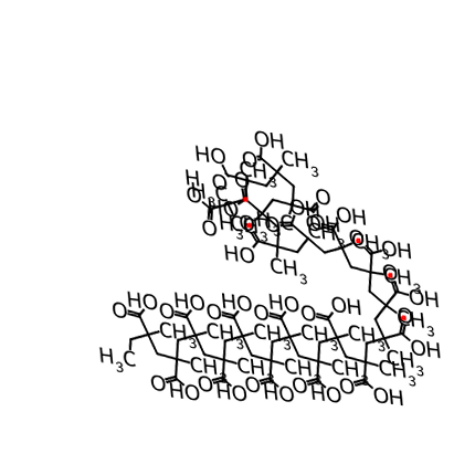 CCC(C)(CC(C)(CC(C)(CC(C)(CC(C)(CC(C)(CC(C)(CC(C)(CC(C)(CC(C)(CC(C)(CC(C)(CC(C)(CC(C)(CC(C)(CC(C)(CC(C)(CC(C)(CC(C)(CC(C)(CC(C)(C)C(=O)O)C(=O)O)C(=O)O)C(=O)O)C(=O)O)C(=O)O)C(=O)O)C(=O)O)C(=O)O)C(=O)O)C(=O)O)C(=O)O)C(=O)O)C(=O)O)C(=O)O)C(=O)O)C(=O)O)C(=O)O)C(=O)O)C(=O)O)C(=O)O